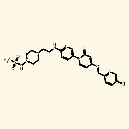 CS(=O)(=O)NN1CCN(CCNc2ccc(-n3ccc(OCc4ccc(Cl)cn4)cc3=O)cn2)CC1